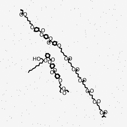 C=CC(=O)OC(CC)CCCOc1ccc(C(=O)Oc2ccc(OC(=O)c3ccccc3OC(CO)CCCCCCCCC)cc2)cc1.C=CC(=O)OCCCCCCOc1ccc(C(=O)Oc2ccc(OC(=O)c3ccc(OCCCCCCOC(=O)CCCCOC(=O)CCCCOC(=O)CCCCOC(=O)CCCCOC(=O)CCCCOC(=O)C(=C)C)cc3)cc2)cc1